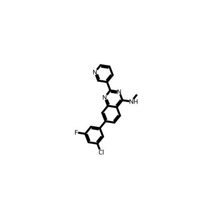 CNc1nc(-c2cccnc2)nc2cc(-c3cc(F)cc(Cl)c3)ccc12